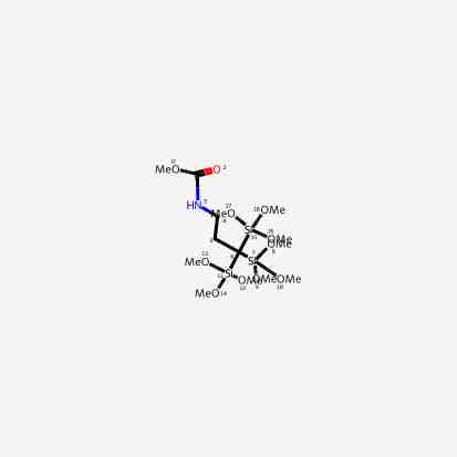 COC(=O)NCCC([Si](OC)(OC)OC)([Si](OC)(OC)OC)[Si](OC)(OC)OC